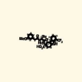 CCC(C)C(NC(=O)Cc1cccc(OC)c1)C(=O)N[C@]1(C(=O)O)CCc2[nH]c3c(C(F)(F)F)cccc3c2C1